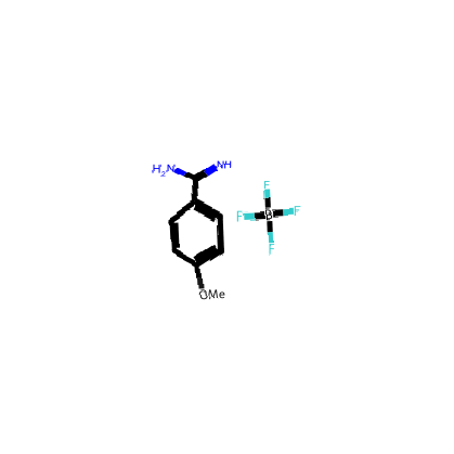 COc1ccc(C(=N)N)cc1.F[B-](F)(F)F